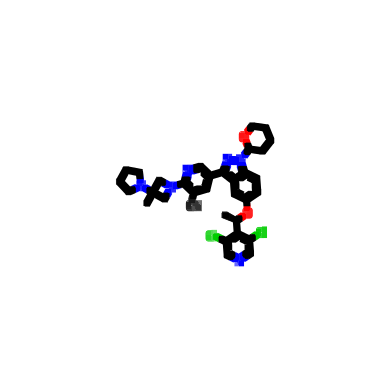 C[C@@H](Oc1ccc2c(c1)c(-c1cnc(N3CC(C)(N4CCCC4)C3)c(C#N)c1)nn2C1CCCCO1)c1c(Cl)cncc1Cl